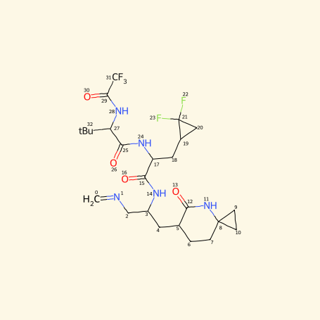 C=NCC(CC1CCC2(CC2)NC1=O)NC(=O)C(CC1CC1(F)F)NC(=O)C(NC(=O)C(F)(F)F)C(C)(C)C